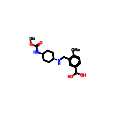 COc1ccc(B(O)O)cc1CN[C@H]1CC[C@H](NC(=O)OC(C)(C)C)CC1